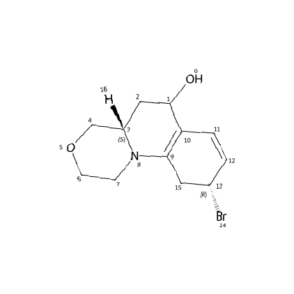 OC1C[C@H]2COCCN2C2=C1C=C[C@H](Br)C2